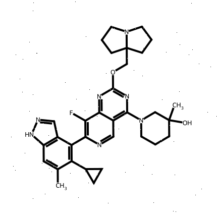 Cc1cc2[nH]ncc2c(-c2ncc3c(N4CCCC(C)(O)C4)nc(OCC45CCCN4CCC5)nc3c2F)c1C1CC1